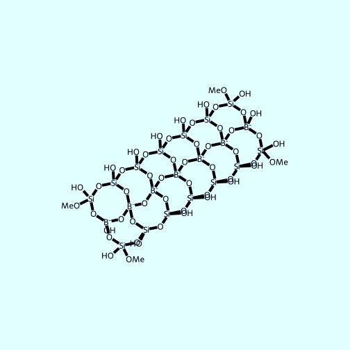 CO[Si]1(O)O[B-]2(O)O[B-]34O[B-]56O[B-]78O[B-]9%10O[B-]%11%12O[B-](O)(O[Si](O)(OC)O[Si](O)(O%11)O[Si](O)(O9)O[Si](O)(O7)O[Si](O)(O5)O[Si](O)(O3)O1)O[Si](O)(OC)O[Si](O)(O%12)O[Si](O)(O%10)O[Si](O)(O8)O[Si](O)(O6)O[Si](O)(O4)O[Si](O)(OC)O2